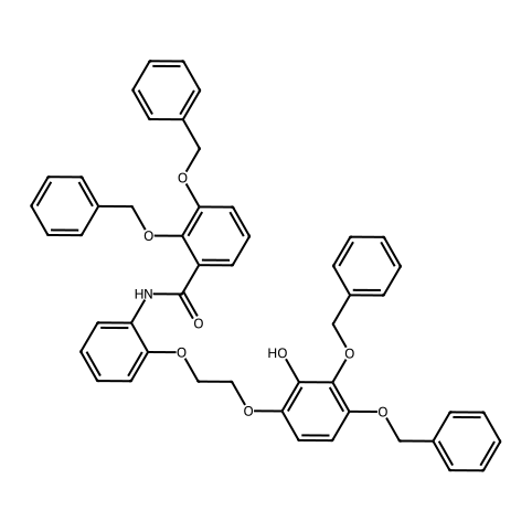 O=C(Nc1ccccc1OCCOc1ccc(OCc2ccccc2)c(OCc2ccccc2)c1O)c1cccc(OCc2ccccc2)c1OCc1ccccc1